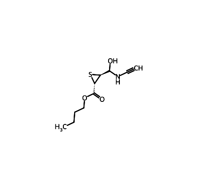 C#CNC(O)[C@@H]1S[C@H]1C(=O)OCCCC